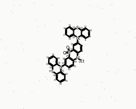 CCN1c2ccc(N3c4ccccc4Sc4ccccc43)cc2S(=O)(=O)c2cc(N3c4ccccc4Sc4ccccc43)ccc21